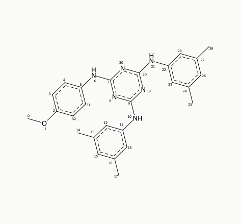 COc1ccc(Nc2nc(Nc3cc(C)cc(C)c3)nc(Nc3cc(C)cc(C)c3)n2)cc1